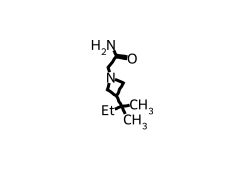 CCC(C)(C)C1CN(CC(N)=O)C1